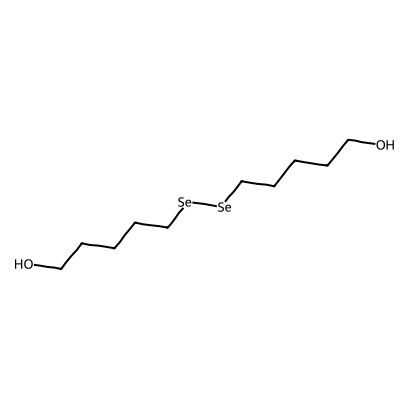 OCCCCC[Se][Se]CCCCCO